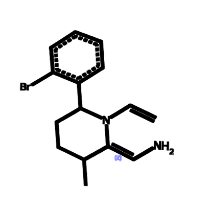 C=CN1/C(=C\N)C(C)CCC1c1ccccc1Br